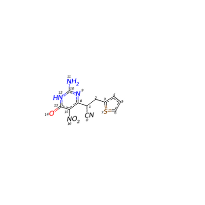 N#CC(Cc1cccs1)c1nc(N)[nH]c(=O)c1[N+](=O)[O-]